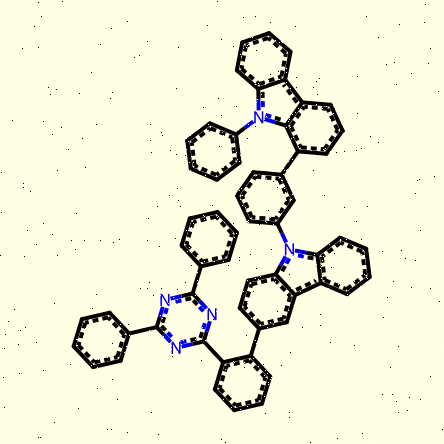 c1ccc(-c2nc(-c3ccccc3)nc(-c3ccccc3-c3ccc4c(c3)c3ccccc3n4-c3cccc(-c4cccc5c6ccccc6n(-c6ccccc6)c45)c3)n2)cc1